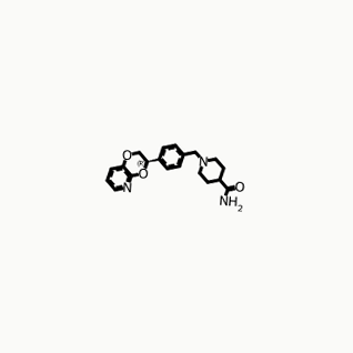 NC(=O)C1CCN(Cc2ccc([C@@H]3COc4cccnc4O3)cc2)CC1